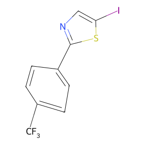 FC(F)(F)c1ccc(-c2ncc(I)s2)cc1